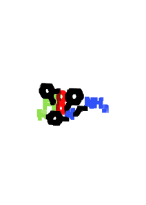 NCCCN(Cc1ccc(F)cc1)C(=O)c1ccccc1OCc1ccccc1C(F)(F)F